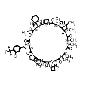 CC[C@H](C)[C@@H]1NC(=O)[C@H](C)N(C)C(=O)C[C@@H](C)N(C)C(=O)[C@H](CC2CCC2)N(C)C(=O)C(C)(C)N(C)C(=O)[C@@H]2CCCN2C(=O)[C@H](CCc2ccc(C(F)(F)F)c(Cl)c2)NC(=O)CN(C)C(=O)[C@H](CC2CCCCC2)N(C)C(=O)[C@@H]2CCN2C(=O)[C@H](C)N(C)C1=O